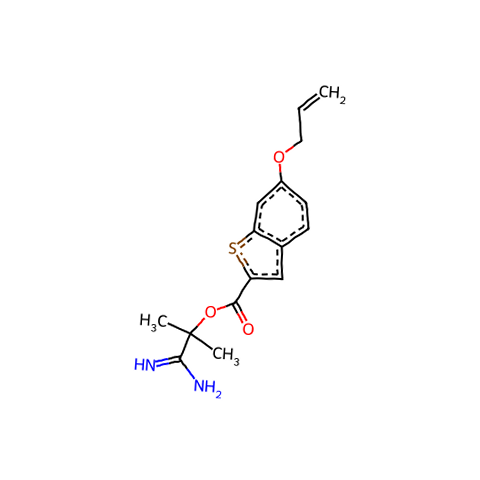 C=CCOc1ccc2cc(C(=O)OC(C)(C)C(=N)N)sc2c1